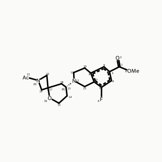 COC(=O)c1cc(F)c2c(c1)CCN([C@@H]1CCOC3(C1)CN(C(C)=O)C3)C2